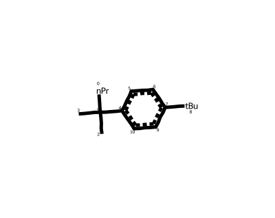 CCCC(C)(C)c1ccc(C(C)(C)C)cc1